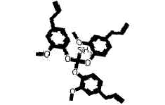 C=CCc1ccc(OC([SiH3])(Oc2ccc(CC=C)cc2OC)Oc2ccc(CC=C)cc2OC)c(OC)c1